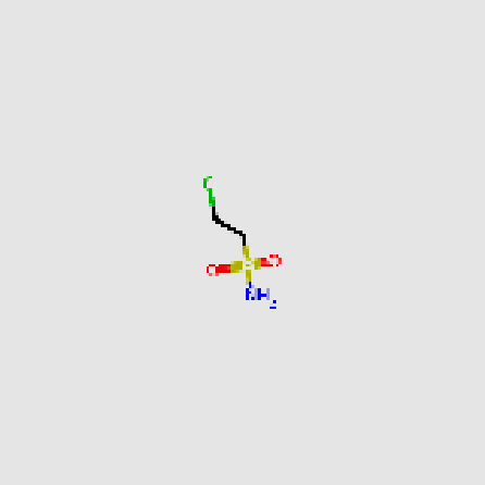 NS(=O)(=O)CCCl